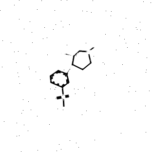 CCCN1CC[C@@H](c2cccc(S(C)(=O)=O)c2)[C@@H](O)C1